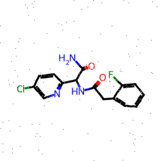 NC(=O)C(NC(=O)Cc1ccccc1F)c1ccc(Cl)cn1